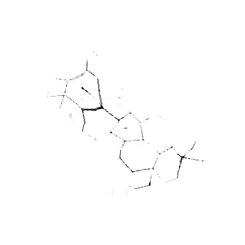 CC1(C)CC[C@]2(CC(=O)O)CC[C@]3(C)C(C2C1)[C@H](O)C[C@@H]1[C@@]2(C)CC(C#N)=C(O)C(C)(C)[C@@H]2CC[C@]13C